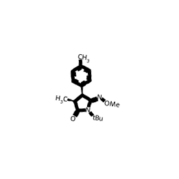 CON=C1[C@H](c2ccc(C)cc2)[C@H](C)C(=O)N1C(C)(C)C